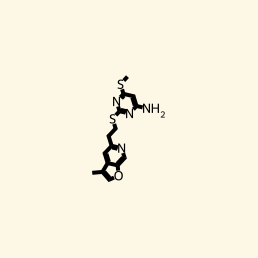 CSc1cc(N)nc(SCCc2cc3c(C)coc3cn2)n1